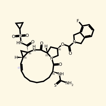 NC(=S)N[C@H]1CCCCC/C=C\[C@@H]2C[C@@]2(C(=O)NS(=O)(=O)C2CC2)NC(=O)[C@@H]2C[C@@H](OC(=O)N3Cc4cccc(F)c4C3)CN2C1=O